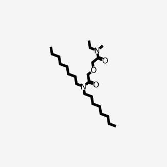 CCCCCCCCN(CCCCCCCC)C(=O)COCC(=O)N(C)CC